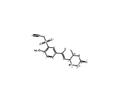 C#CCS(=O)(=O)c1cc(/C(C)=C/C2NNC(=O)CC2C)ccc1OC